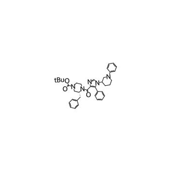 CC(C)(C)OC(=O)N1CCN(C(=O)c2ncn(C3CCCN(c4ccccc4)C3)c2-c2ccccc2)[C@H](Cc2ccccc2)C1